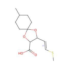 CS/C=C/C1OC2(CCC(C)CC2)OC1C(=O)O